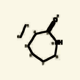 CC.O=C1CCCCCN1